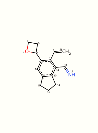 C=Cc1c(C2CCO2)cc2c(c1C=N)CCC2